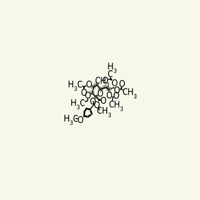 CCO[C@H]1[C@H](OC(C)=O)[C@@H](C)[C@H]([C@H](OC(C)=O)[C@@H](COC(C)=O)OC(C)=O)O[C@@]1(OCc1ccc(OC)cc1)C(=O)OC